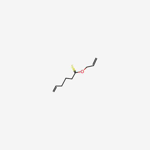 C=CCCCC(=S)OCC=C